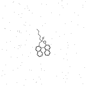 CCCCCC1(F)Cc2ccc3ccccc3c2-c2c(ccc3ccccc23)O1